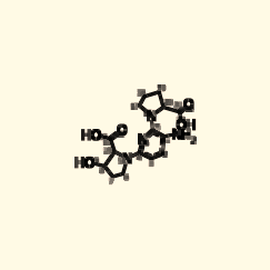 Nc1ccc(N2CCC(O)C2C(=O)O)nc1N1CCCC1C(=O)O